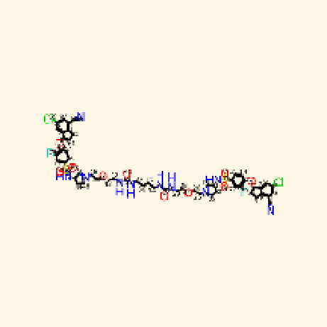 N#Cc1cc(Cl)cc2c1CC[C@H]2Oc1ccc(S(=O)(=O)N[C@H]2CCN(CCOCCNC(=O)NCCCCNC(=O)NCCOCCN3CC[C@H](NS(=O)(=O)c4ccc(O[C@@H]5CCc6c(C#N)cc(Cl)cc65)c(F)c4)C3)C2)cc1F